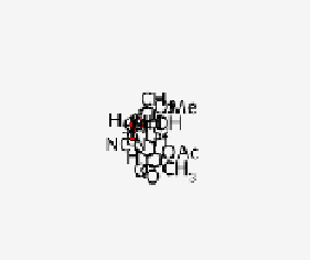 COc1c(C)cc2c(c1O)C1C3[C@@H]4SCC(N)C(=O)OC[C@@H](c5c6c(c(C)c(OC(C)=O)c54)OCO6)N3[C@@H](C#N)C(C2)N1C